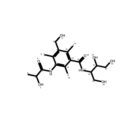 CC(O)C(=O)Nc1c(I)c(CO)c(I)c(C(=O)NC(CO)C(O)CO)c1I